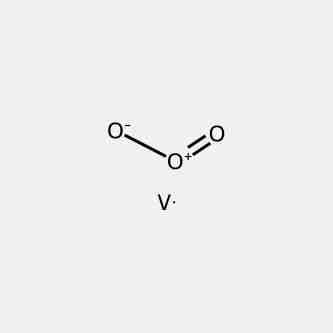 O=[O+][O-].[V]